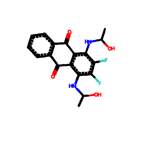 CC(O)Nc1c(F)c(F)c(NC(C)O)c2c1C(=O)c1ccccc1C2=O